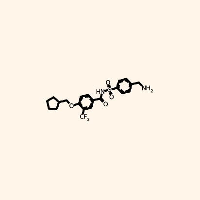 NCc1ccc(S(=O)(=O)NC(=O)c2ccc(OCC3CCCC3)c(C(F)(F)F)c2)cc1